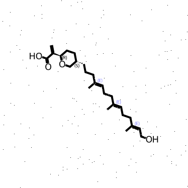 C=C(C(=O)O)[C@H]1CC[C@H](CCC/C(C)=C/CC/C(C)=C/CC/C(C)=C/CO)CO1